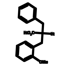 CCOC(=O)C(CC)(Cc1ccccc1)Cc1ccccc1OC